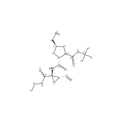 C=C[C@@H]1C[C@]1(NC(=O)[C@@H]1C[C@@H](CP)CN1C(=O)OC(C)(C)C)C(=O)OCC